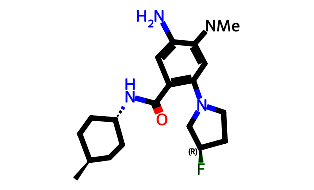 CNc1cc(N2CC[C@@H](F)C2)c(C(=O)N[C@H]2CC[C@H](C)CC2)cc1N